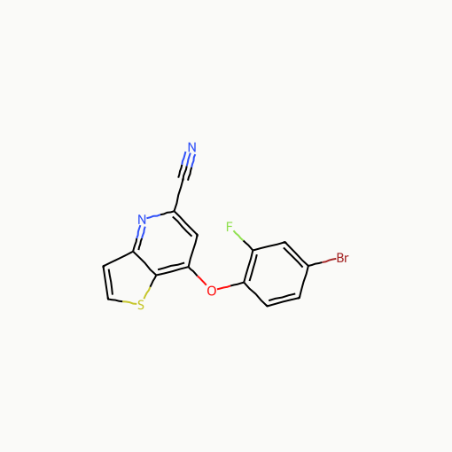 N#Cc1cc(Oc2ccc(Br)cc2F)c2sccc2n1